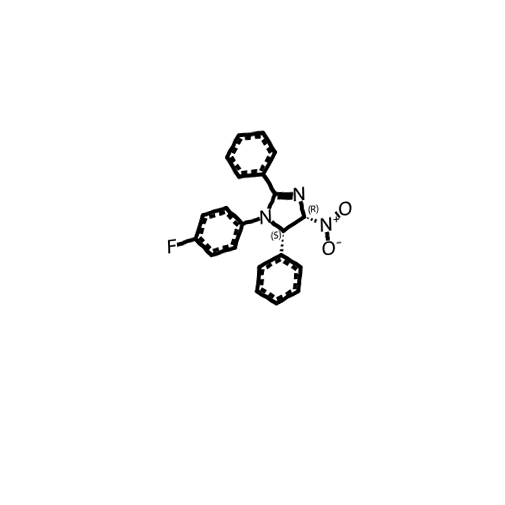 O=[N+]([O-])[C@H]1N=C(c2ccccc2)N(c2ccc(F)cc2)[C@H]1c1ccccc1